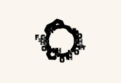 CC(C)[C@@H]1NC(=O)C(C)(C)/C=C/c2ccc3ccc(nc3c2)[C@@H](C(F)(F)F)NC(=O)[C@@H]2CCCN(N2)C(=O)[C@H](C)NC1=O